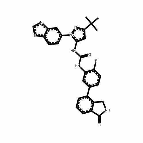 CC(C)(C)c1cc(NC(=O)Nc2cc(-c3cccc4c3CNC4=O)ccc2F)n(-c2ccc3scnc3c2)n1